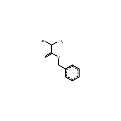 CCC(C)C(C)C(=O)OCc1ccccc1